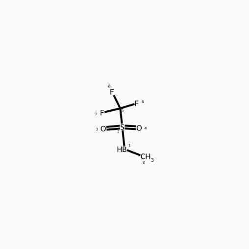 CBS(=O)(=O)C(F)(F)F